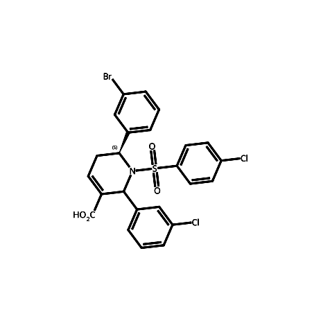 O=C(O)C1=CC[C@@H](c2cccc(Br)c2)N(S(=O)(=O)c2ccc(Cl)cc2)C1c1cccc(Cl)c1